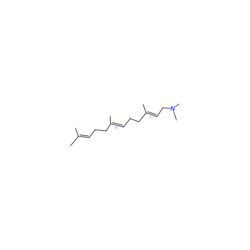 CC(C)=CCC/C(C)=C/CC/C(C)=C/CN(C)C